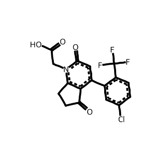 O=C(O)Cn1c2c(c(-c3cc(Cl)ccc3C(F)(F)F)cc1=O)C(=O)CC2